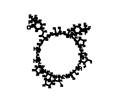 CC[C@H](C)[C@H]1CN[C@@H](C)C(C)NCC2[C@H](C)CN2[C@@H](C2CCCC2)C(C)NC2(CCCC2)CNCCNC=CC(CCc2ccc(C(F)(F)F)c(Cl)c2)=NC=C(C)N(C)C=C(Cc2ccc(C(F)(F)F)cc2)N(C)C=C2CCCN2CC(C)N1